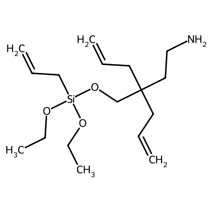 C=CCC(CC=C)(CCN)CO[Si](CC=C)(OCC)OCC